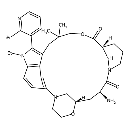 CCn1c(-c2cccnc2C(C)C)c2c3cc(ccc31)N1CCO[C@@H](C[C@H](N)C(=O)N3CCC[C@H](N3)C(=O)OCC(C)(C)C2)C1